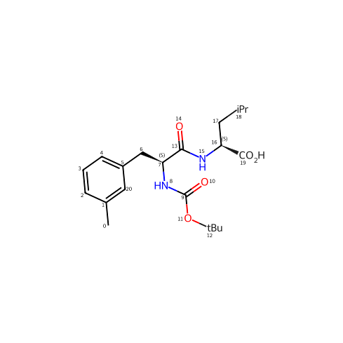 Cc1cccc(C[C@H](NC(=O)OC(C)(C)C)C(=O)N[C@@H](CC(C)C)C(=O)O)c1